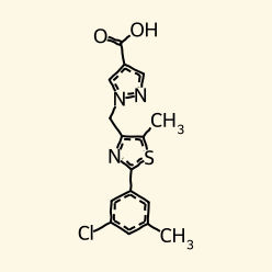 Cc1cc(Cl)cc(-c2nc(Cn3cc(C(=O)O)cn3)c(C)s2)c1